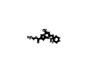 CCOC(=O)c1cc2nc(CC3(C)CCCCC3)cc(Cl)n2n1